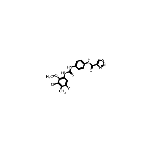 COc1c(NC(=S)Nc2ccc(NC(=O)c3csnn3)cc2)cc(Cl)c(C)c1Cl